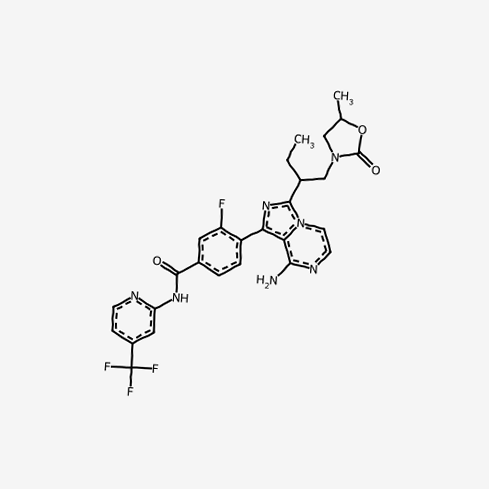 CCC(CN1CC(C)OC1=O)c1nc(-c2ccc(C(=O)Nc3cc(C(F)(F)F)ccn3)cc2F)c2c(N)nccn12